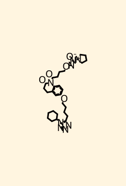 O=C(CCCO/N=[N+](\[O-])N1CCCC1)N1C(=O)CCc2cc(OCCCCc3nnnn3C3CCCCC3)ccc21